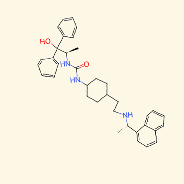 C[C@H](NCCC1CCC(NC(=O)N[C@H](C)C(O)(c2ccccc2)c2ccccc2)CC1)c1cccc2ccccc12